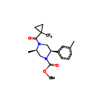 Cc1cccc([C@@H]2CN(C(=O)C3(C(F)(F)F)CC3)[C@H](C)CN2C(=O)OC(C)(C)C)c1